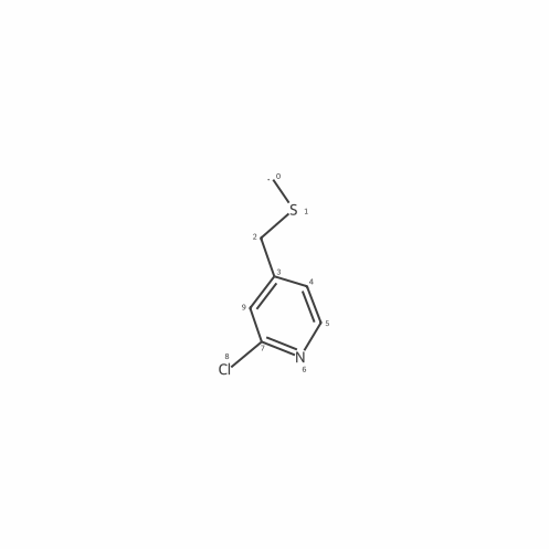 [CH2]SCc1ccnc(Cl)c1